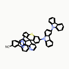 N#Cc1ccc2c(c1)c1ccccc1n2-c1cccc2c1C1(c3ccc(-n4c5ccccc5c5cc(-n6c7ccccc7c7ccccc76)ccc54)cc3S2)c2cccnc2-c2ncccc21